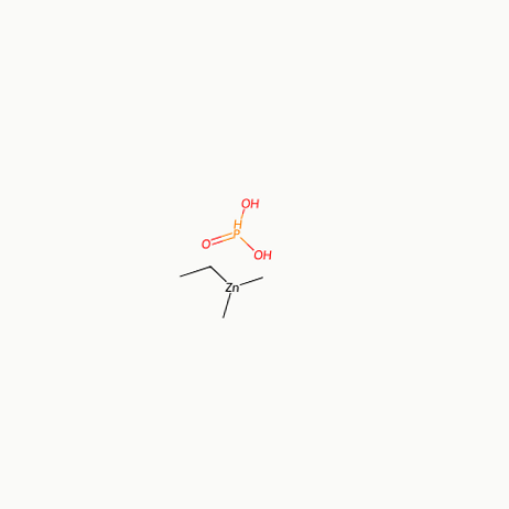 C[CH2][Zn]([CH3])[CH3].O=[PH](O)O